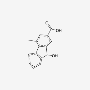 Cc1cc(C(=O)O)cc2c1-c1ccccc1C2O